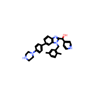 Cc1ccc(C)c(Cn2c(C(O)c3ccncc3)nc3ccc(-c4ccc(N5CCNCC5)cc4)cc32)c1